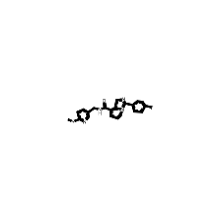 CSc1ccc(CNC(=O)c2cccn3c(-c4ccc(F)cc4)ncc23)cn1